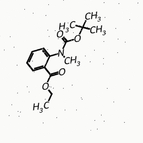 CCOC(=O)c1ccccc1N(C)C(=O)OC(C)(C)C